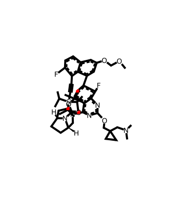 COCOc1cc(-c2ccc3c(N4CC[C@H]5CC[C@@H](C4)N5C(=O)OC(C)(C)C)nc(OCC4(CN(C)C)CC4)nc3c2F)c2c(C#C[Si](C(C)C)(C(C)C)C(C)C)c(F)ccc2c1